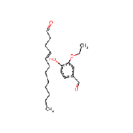 CCCCCCCC=CCCC=O.CCOc1cc(C=O)ccc1O